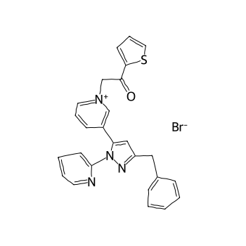 O=C(C[n+]1cccc(-c2cc(Cc3ccccc3)nn2-c2ccccn2)c1)c1cccs1.[Br-]